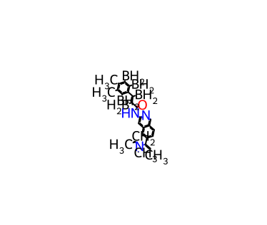 B/C(C(=O)Nc1cc2cc(/C(=C/C)N(C)C(=C)C)ccc2cn1)=C(/B)c1c(B)c(B)c(C)c(C)c1B